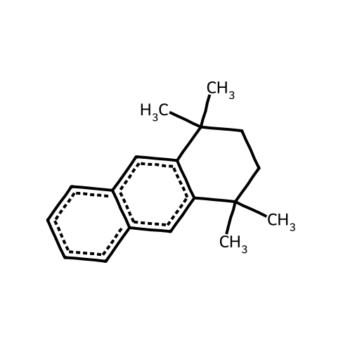 CC1(C)CCC(C)(C)c2cc3ccccc3cc21